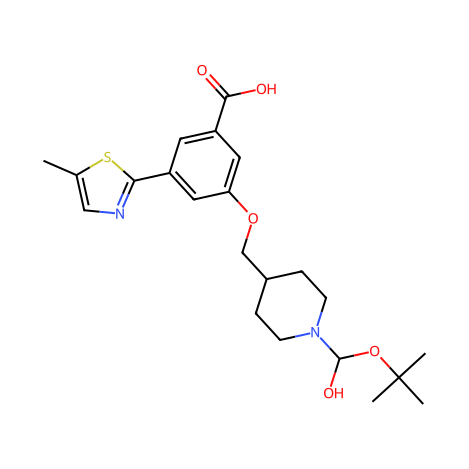 Cc1cnc(-c2cc(OCC3CCN(C(O)OC(C)(C)C)CC3)cc(C(=O)O)c2)s1